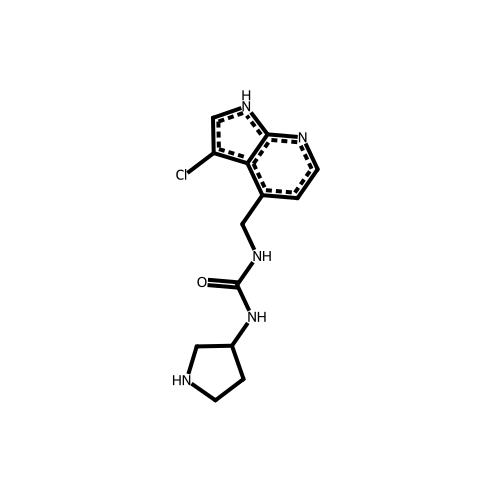 O=C(NCc1ccnc2[nH]cc(Cl)c12)NC1CCNC1